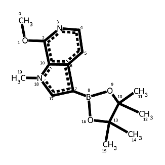 COc1nccc2c(B3OC(C)(C)C(C)(C)O3)cn(C)c12